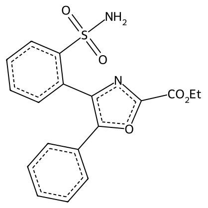 CCOC(=O)c1nc(-c2ccccc2S(N)(=O)=O)c(-c2ccccc2)o1